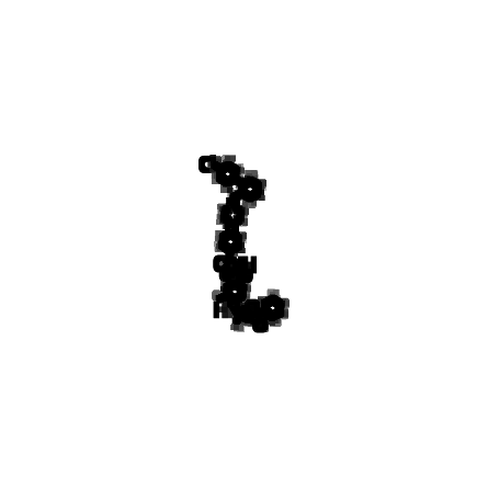 Cc1cc(S(=O)(=O)NC(=O)c2ccc(N3CCN(Cc4ccccc4-c4ccc(Cl)cc4)CC3)cc2)ccc1NC(C)(C)CS(=O)(=O)c1ccccc1